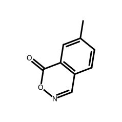 Cc1ccc2cnoc(=O)c2c1